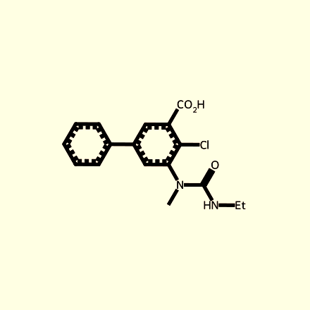 CCNC(=O)N(C)c1cc(-c2ccccc2)cc(C(=O)O)c1Cl